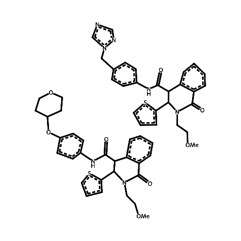 COCCN1C(=O)c2ccccc2C(C(=O)Nc2ccc(Cn3cncn3)cc2)C1c1cccs1.COCCN1C(=O)c2ccccc2C(C(=O)Nc2ccc(OC3CCOCC3)cc2)C1c1cccs1